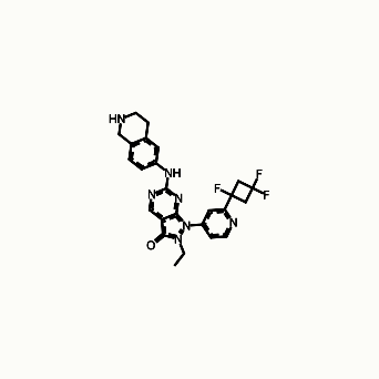 CCn1c(=O)c2cnc(Nc3ccc4c(c3)CCNC4)nc2n1-c1ccnc(C2(F)CC(F)(F)C2)c1